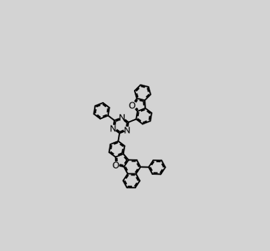 c1ccc(-c2nc(-c3ccc4oc5c6ccccc6c(-c6ccccc6)cc5c4c3)nc(-c3cccc4c3oc3ccccc34)n2)cc1